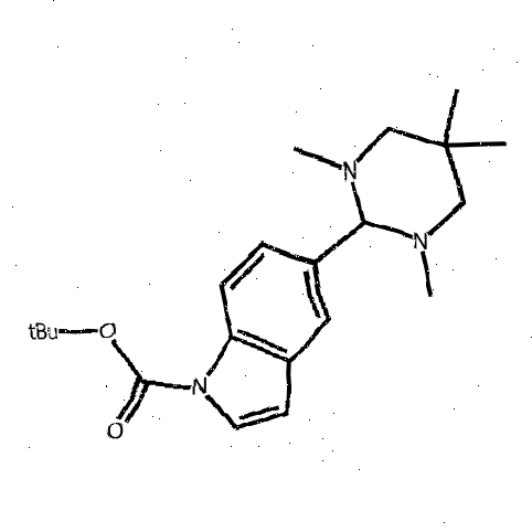 CN1CC(C)(C)CN(C)C1c1ccc2c(ccn2C(=O)OC(C)(C)C)c1